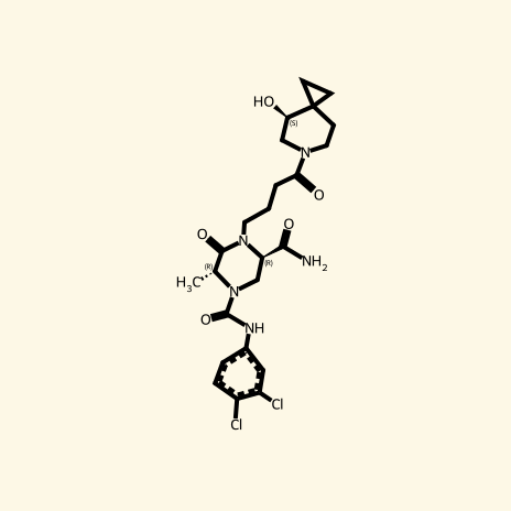 C[C@@H]1C(=O)N(CCCC(=O)N2CCC3(CC3)[C@H](O)C2)[C@@H](C(N)=O)CN1C(=O)Nc1ccc(Cl)c(Cl)c1